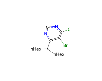 CCCCCCC(CCCCCC)c1ncnc(Cl)c1Br